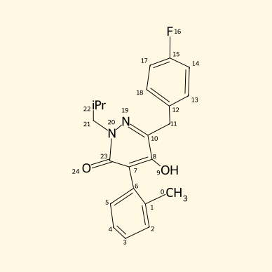 Cc1ccccc1-c1c(O)c(Cc2ccc(F)cc2)nn(CC(C)C)c1=O